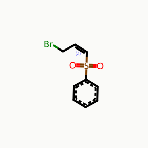 O=S(=O)(/C=C\CBr)c1ccccc1